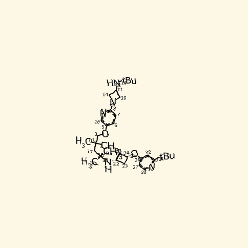 CC(C)(COc1ccc(N2CC(NC(C)(C)C)C2)nc1)CC(C)(C)N[C@H]1C[C@@H](Oc2ccnc(C(C)(C)C)c2)C1